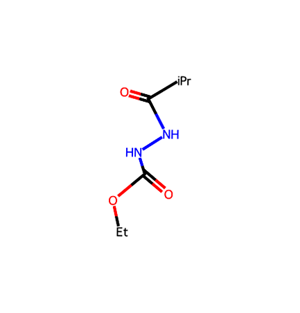 CCOC(=O)NNC(=O)C(C)C